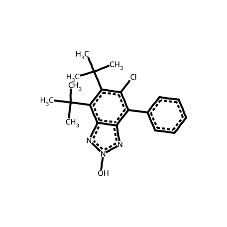 CC(C)(C)c1c(Cl)c(-c2ccccc2)c2nn(O)nc2c1C(C)(C)C